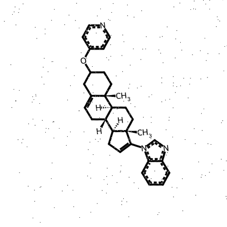 C[C@]12CCC(Oc3ccncc3)CC1=CC[C@@H]1[C@@H]2CC[C@]2(C)C(n3cnc4ccccc43)=CC[C@@H]12